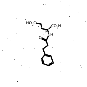 O=C(O)CC[C@H](NC(=O)CCc1ccccc1)C(=O)O